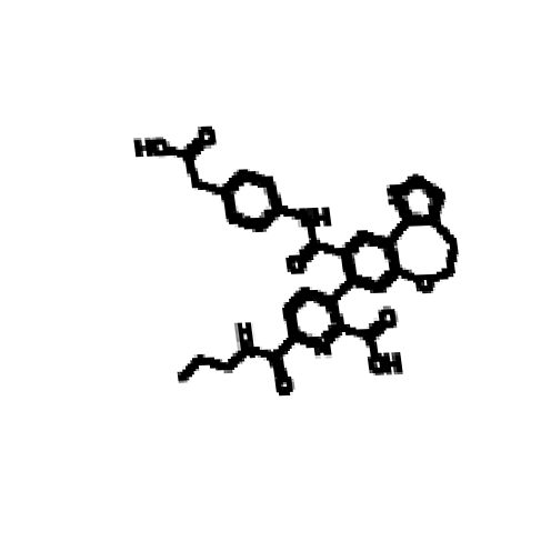 CCCNC(=O)c1ccc(-c2cc3c(cc2C(=O)Nc2ccc(CC(=O)O)cc2)-c2sccc2CCO3)c(C(=O)O)n1